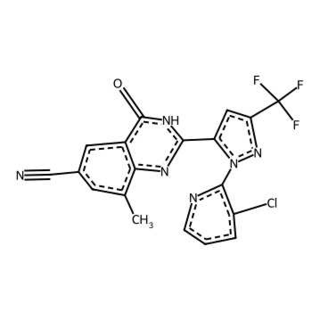 Cc1cc(C#N)cc2c(=O)[nH]c(-c3cc(C(F)(F)F)nn3-c3ncccc3Cl)nc12